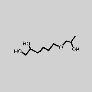 CC(O)COCCCCC(O)CO